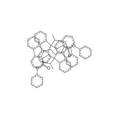 CC(c1cccc2c1C(CCC1c3ccccc3-c3cccc(C(C)C4(CCC(=O)Oc5ccccc5)c5ccccc5-c5ccccc54)c31)c1ccccc1-2)C1(CCC(=O)Oc2ccccc2)c2ccccc2-c2ccccc21